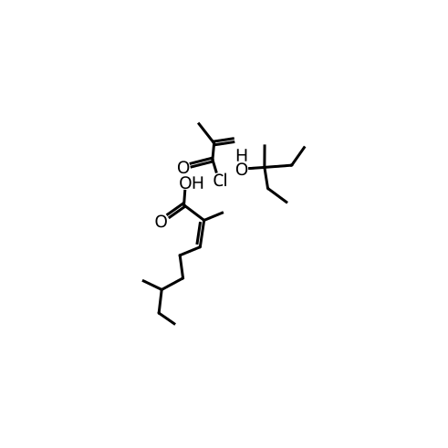 C=C(C)C(=O)Cl.CCC(C)(O)CC.CCC(C)CCC=C(C)C(=O)O